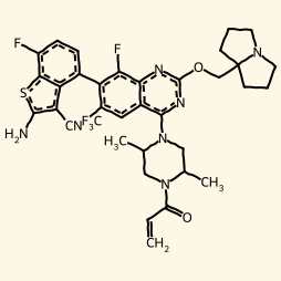 C=CC(=O)N1CC(C)N(c2nc(OCC34CCCN3CCC4)nc3c(F)c(-c4ccc(F)c5sc(N)c(C#N)c45)c(C(F)(F)F)cc23)CC1C